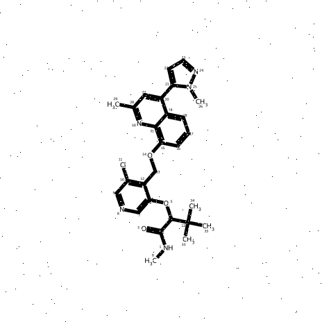 CNC(=O)C(Oc1cncc(Cl)c1COc1cccc2c(-c3ccnn3C)cc(C)nc12)C(C)(C)C